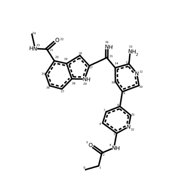 CCC(=O)Nc1ccc(-c2cnc(N)c(C(=N)c3cc4c(C(=O)NC)cccc4[nH]3)c2)cn1